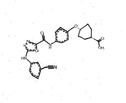 N#Cc1cccc(Nc2nnc(C(=O)Nc3ccc(O[C@H]4CC[C@H](C(=O)O)CC4)cc3)o2)c1